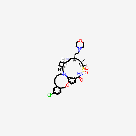 C[C@@H]1[C@@H](C)C[C@H](CCN2CCOCC2)/C=C/[C@@H]2CC[C@H]2CN2CCCCc3cc(Cl)ccc3COc3ccc(cc32)C(=O)NS1(=O)=O